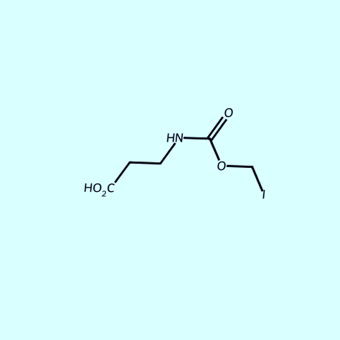 O=C(O)CCNC(=O)OCI